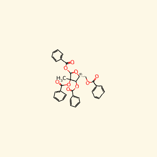 CC1(OC(=O)c2ccccc2)C(OC(=O)c2ccccc2)O[C@H](COC(=O)c2ccccc2)C1OC(=O)c1ccccc1